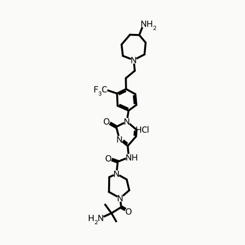 CC(C)(N)C(=O)N1CCN(C(=O)Nc2ccn(-c3ccc(CCN4CCCC(N)CC4)c(C(F)(F)F)c3)c(=O)n2)CC1.Cl